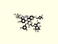 Cn1nc(NS(C)(=O)=O)c2c(Cl)ccc(-n3c([C@H](Cc4cc(F)cc(F)c4)NC(=O)Cn4nc(C(F)F)c5c4C(F)(F)[C@@H]4C[C@H]54)nc4nc(OCC5CC(F)(F)C5)ccc4c3=O)c21